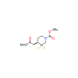 COC(=O)C=C1CCN(C(=O)OC(C)(C)C)CC1(F)F